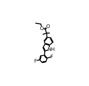 CCOC(=O)C(C)(C)c1ccc2[nH]c(-c3cc(F)ccc3F)cc2c1